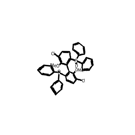 COc1c(Cl)ccc(P(=O)(c2ccccc2)c2ccccc2)c1-c1c(P(=O)(c2ccccc2)c2ccccc2)ccc(Cl)c1OC